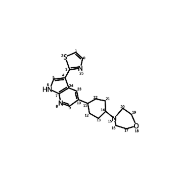 c1csc(-c2c[nH]c3ncc(C4CCC(N5CCOCC5)CC4)cc23)n1